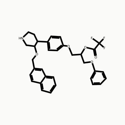 O=C(OC(COc1ccccc1)COc1ccc(C2CCNCC2OCc2ccc3ccccc3c2)cc1)C(F)(F)F